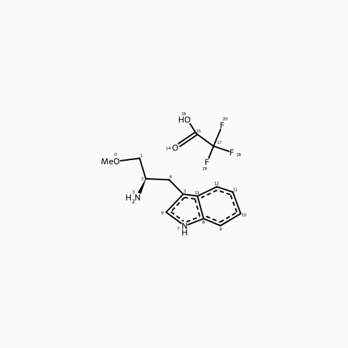 COC[C@H](N)Cc1c[nH]c2ccccc12.O=C(O)C(F)(F)F